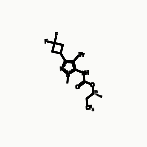 CC(C)c1c(C2CC(F)(F)C2)nn(C)c1NC(=O)O[C@H](C)CC(F)(F)F